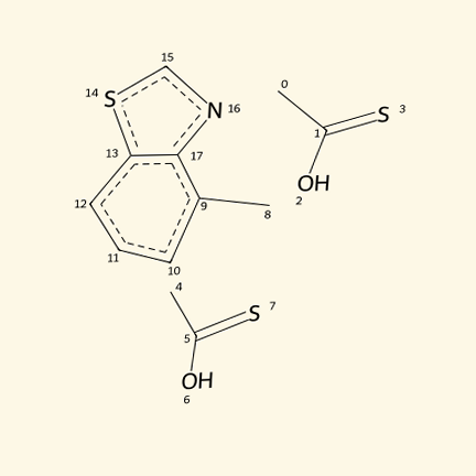 CC(O)=S.CC(O)=S.Cc1cccc2scnc12